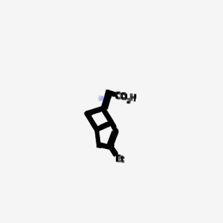 CCC1=CC2/C(=C\C(=O)O)CC2C1